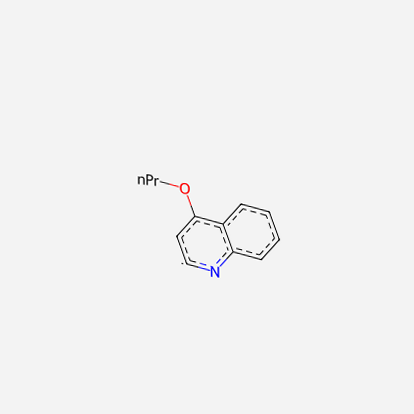 CCCOc1c[c]nc2ccccc12